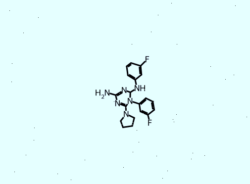 NC1=NC(Nc2cccc(F)c2)N(c2cccc(F)c2)C(N2CCCC2)=N1